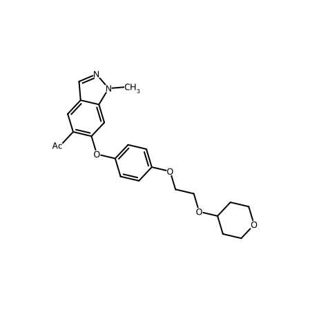 CC(=O)c1cc2cnn(C)c2cc1Oc1ccc(OCCOC2CCOCC2)cc1